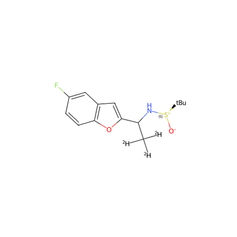 [2H]C([2H])([2H])C(N[S@+]([O-])C(C)(C)C)c1cc2cc(F)ccc2o1